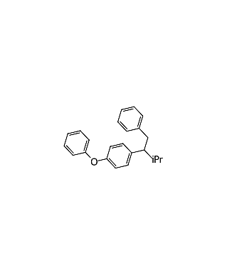 CC(C)C(Cc1ccccc1)c1ccc(Oc2ccccc2)cc1